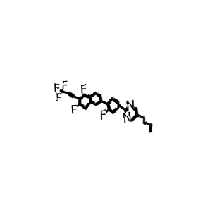 C=CCCc1cnc(-c2ccc(-c3ccc4c(F)c(C#CC(F)(F)F)c(F)cc4c3)c(F)c2)nc1